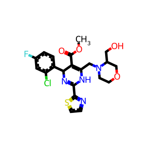 COC(=O)C1=C(CN2CCOCC2CO)NC(c2nccs2)=NC1c1ccc(F)cc1Cl